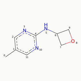 Cc1cnc(NC2COC2)nc1